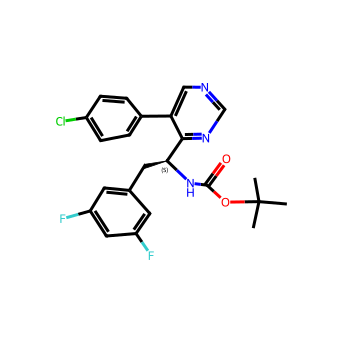 CC(C)(C)OC(=O)N[C@@H](Cc1cc(F)cc(F)c1)c1ncncc1-c1ccc(Cl)cc1